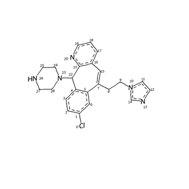 Clc1ccc2c(c1)C(CCn1ccnc1)=Cc1cccnc1C2N1CCNCC1